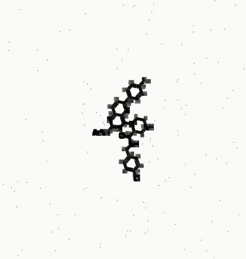 CC(=O)Nc1nc(N2CCNCC2C(=O)NCc2ccc(Cl)cc2)c2nc(-c3ccc(F)cc3)ccc2n1